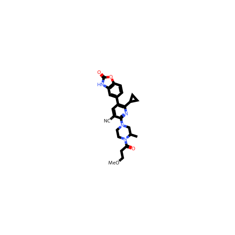 COCCC(=O)N1CCN(c2nc(C3CC3)c(-c3ccc4oc(=O)[nH]c4c3)cc2C#N)CC1C